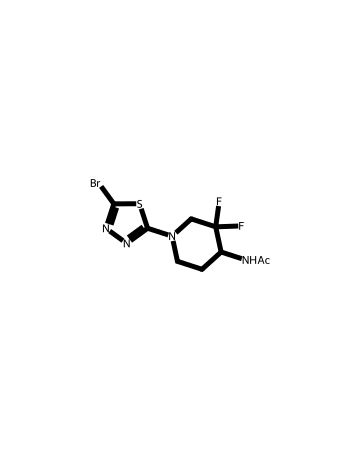 CC(=O)NC1CCN(c2nnc(Br)s2)CC1(F)F